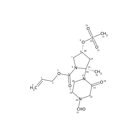 C=CCOC(=O)N1C[C@H](OS(C)(=O)=O)C[C@@]1(C)N1CCN(C=O)CC1=O